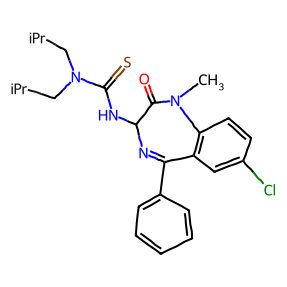 CC(C)CN(CC(C)C)C(=S)NC1N=C(c2ccccc2)c2cc(Cl)ccc2N(C)C1=O